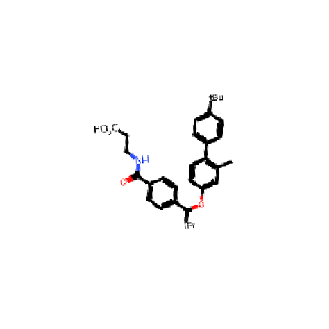 Cc1cc(OC(c2ccc(C(=O)NCCC(=O)O)cc2)C(C)C)ccc1-c1ccc(C(C)(C)C)cc1